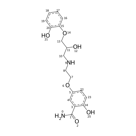 NC(=O)c1cc(OCCNCC(O)COc2ccccc2O)ccc1O